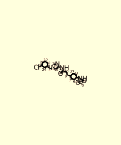 CS(=O)(=O)Nc1ccc(/C=C/C(=O)Nc2cn(Cc3cccc(Cl)c3)cn2)cc1